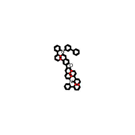 c1ccc(-c2cccc(N(c3ccc4cc5c(cc4c3)oc3cc4cc(N(c6ccccc6-c6ccccc6)c6ccccc6-c6ccccc6)ccc4cc35)c3ccccc3-c3ccccc3)c2)cc1